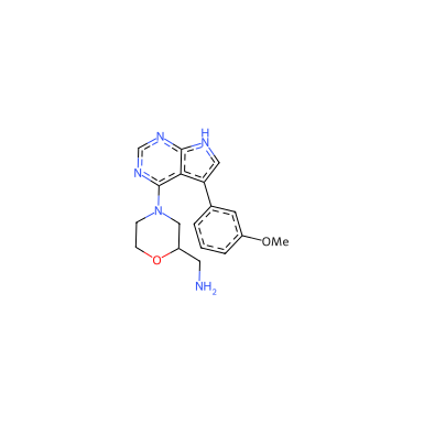 COc1cccc(-c2c[nH]c3ncnc(N4CCOC(CN)C4)c23)c1